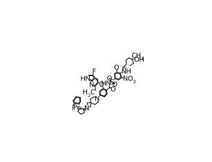 C=Cc1nc2[nH]cc(F)c2cc1Oc1cc(N2CCC3(CC2)CN([C@@H]2CCC[C@@H]2c2ccccc2C(C)C)C3)ccc1C(=O)NS(=O)(=O)c1cc2c(c([N+](=O)[O-])c1)N[C@@H]([C@H]1CC[C@](C)(O)CC1)CO2